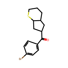 O=C(c1ccc(Br)cc1)C1CC2CCCSC2C1